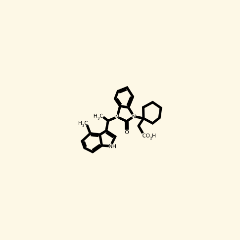 Cc1cccc2[nH]cc(C(C)n3c(=O)n(C4(CC(=O)O)CCCCC4)c4ccccc43)c12